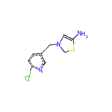 NC1=CN(Cc2ccc(Cl)nc2)CS1